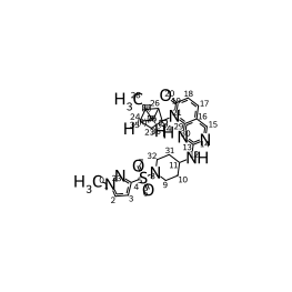 Cn1ccc(S(=O)(=O)N2CCC(Nc3ncc4ccc(=O)n([C@H]5C[C@@H]6[C@@H]7C5[C@]67C)c4n3)CC2)n1